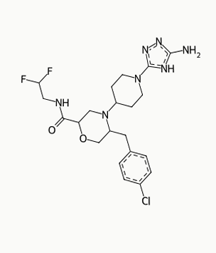 Nc1nnc(N2CCC(N3CC(C(=O)NCC(F)F)OCC3Cc3ccc(Cl)cc3)CC2)[nH]1